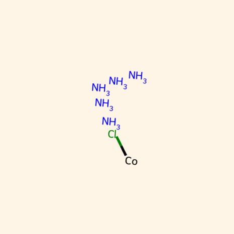 N.N.N.N.N.[Cl][Co]